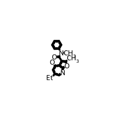 CCc1cnc2oc(C)c(C(=O)N(C)c3ccccc3)c2c(=O)c1